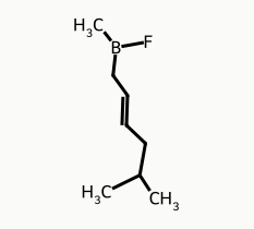 CB(F)C/C=C/CC(C)C